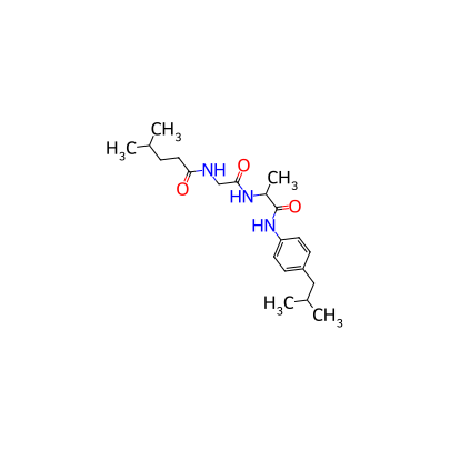 CC(C)CCC(=O)NCC(=O)NC(C)C(=O)Nc1ccc(CC(C)C)cc1